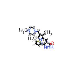 Cc1[nH]c(/C=C2/C(=O)NN=C2c2cccs2)c(C)c1CN1CCN(C)CC1